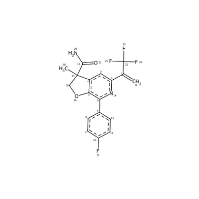 C=C(c1cc2c(c(-c3ccc(F)cc3)n1)OCC2(C)C(N)=O)C(F)(F)F